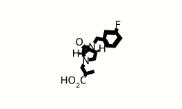 CC(CN1C[C@@H]2C[C@H]1C(=O)N2Cc1cccc(F)c1)C(=O)O